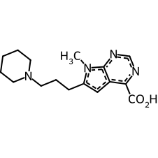 Cn1c(CCCN2CCCCC2)cc2c(C(=O)O)ncnc21